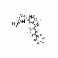 Cc1cncc(-c2cc3c(cn2)cnn3-c2cccc(N3CCCCC3)n2)n1